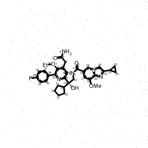 CCOc1c(CC(N)=O)cc([C@@](O)(CNC(=O)c2cc(OC)c3nc(C4CC4)cn3c2)C2CCCC2)nc1-c1ccc(F)cc1